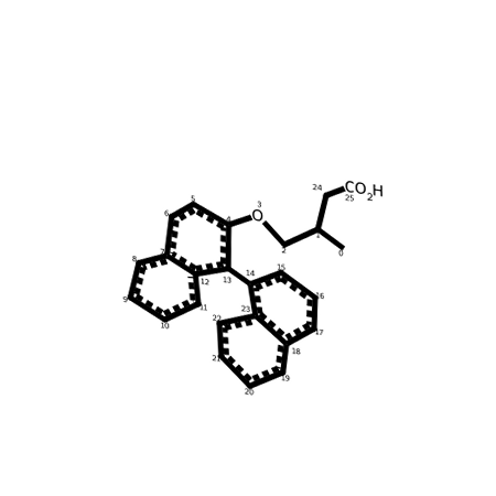 CC(COc1ccc2ccccc2c1-c1cccc2ccccc12)CC(=O)O